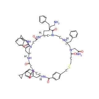 NCCCC[C@H]1CN(C(=O)CCc2ccccc2)CCN[C@@H](Cc2ccccc2)CN(CC(N)=O)C(=O)CCSCc2ccc(cc2)C(=O)N[C@@H](Cc2ccccc2)CN(C(=O)CC2CC2)CC(=O)N[C@@H](Cc2c[nH]c3ccccc23)CN(C(=O)CC2CC2)CC(=O)N1